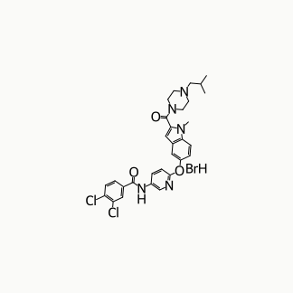 Br.CC(C)CN1CCN(C(=O)c2cc3cc(Oc4ccc(NC(=O)c5ccc(Cl)c(Cl)c5)cn4)ccc3n2C)CC1